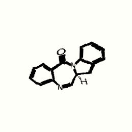 O=C1c2ccccc2N=C[C@@H]2Cc3ccccc3N12